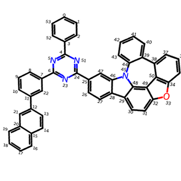 c1ccc(-c2nc(-c3cccc(-c4ccc5ccccc5c4)c3)nc(-c3ccc4c5ccc6oc7cccc8c9ccccc9n(c4c3)c5c6c78)n2)cc1